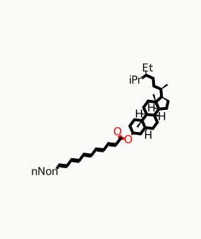 CCCCCCCCC/C=C/C=C/C=C/C=C/C=C/C(=O)O[C@H]1CC[C@@]2(C)[C@@H](CC[C@@H]3[C@@H]2CC[C@]2(C)[C@@H]([C@H](C)CC[C@@H](CC)C(C)C)CC[C@@H]32)C1